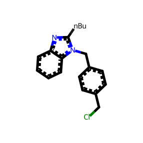 CCCCc1nc2ccccc2n1Cc1ccc(CCl)cc1